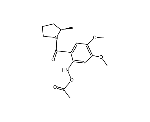 COc1cc(NOC(C)=O)c(C(=O)N2CCC[C@H]2C)cc1OC